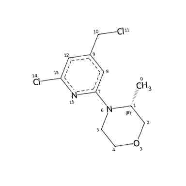 C[C@@H]1COCCN1c1cc(CCl)cc(Cl)n1